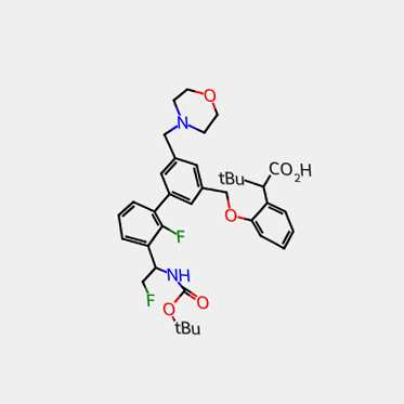 CC(C)(C)OC(=O)NC(CF)c1cccc(-c2cc(COc3ccccc3C(C(=O)O)C(C)(C)C)cc(CN3CCOCC3)c2)c1F